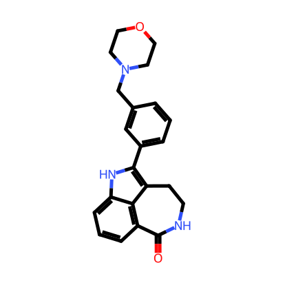 O=C1NCCc2c(-c3cccc(CN4CCOCC4)c3)[nH]c3cccc1c23